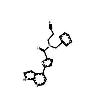 N#CCCN(Cc1ccccc1)C(=O)c1ccc(-c2ccnc3[nH]ccc23)s1